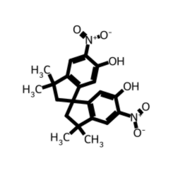 CC1(C)CC2(CC(C)(C)c3cc([N+](=O)[O-])c(O)cc32)c2cc(O)c([N+](=O)[O-])cc21